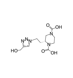 O=C(O)N1CCN(C(=O)O)[C@H](CCn2cc(CO)nn2)C1